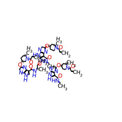 C=CC(=O)N1CC[C@@H](Oc2cnc3[nH]cc(C(=O)NCC)c3n2)C[C@@H]1C.C=CC(=O)N1CC[C@H](Oc2cnc3[nH]cc(C(=O)NCC)c3n2)C[C@H]1C.C=CC(=O)N1C[C@H](Oc2cnc3[nH]cc(C(=O)N[C@@H](C)COC)c3n2)CC[C@@H]1C